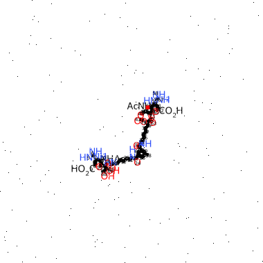 CC(=O)N[C@@H]1[C@@H](NC(=N)N)C=C(C(=O)O)O[C@H]1C(OC(=O)NCCCCCNC(=O)c1cc(C)cc(C(=O)NCCCCCCC2OC(=O)OC[C@@H](C)[C@H]([C@@H]3OC(C(=O)O)=C[C@H](NC(=N)N)[C@H]3NC(C)=O)OC2=O)c1)[C@H](O)CO